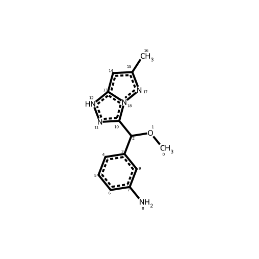 COC(c1cccc(N)c1)c1n[nH]c2cc(C)nn12